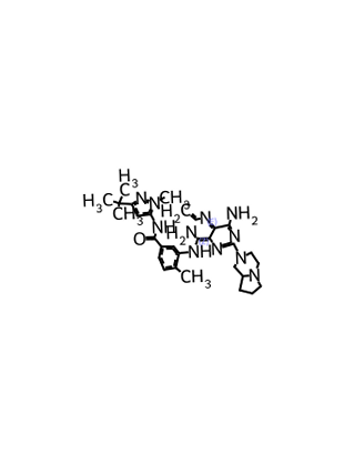 C=C/N=C1/C(N)=NC(N2CCN3CCCC3C2)=N/C1=C(/N)Nc1cc(C(=O)Nc2cc(C(C)(C)C)nn2C)ccc1C